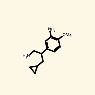 COc1ccc(C(CN)CC2CC2)cc1N